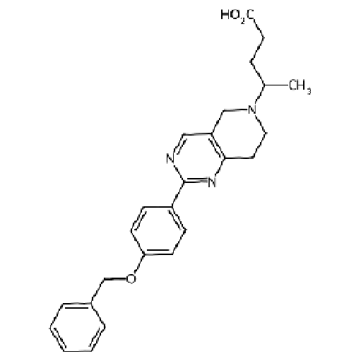 CC(CCC(=O)O)N1CCc2nc(-c3ccc(OCc4ccccc4)cc3)ncc2C1